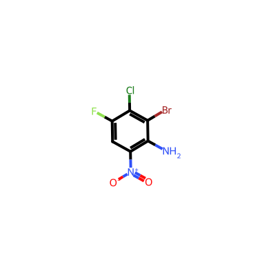 Nc1c([N+](=O)[O-])cc(F)c(Cl)c1Br